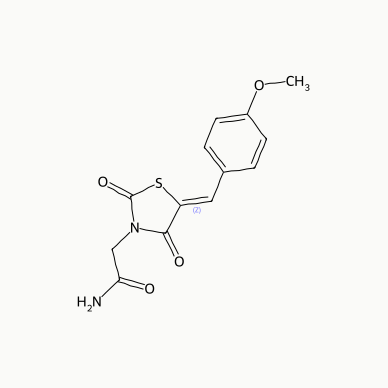 COc1ccc(/C=C2\SC(=O)N(CC(N)=O)C2=O)cc1